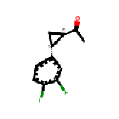 CC(=O)[C@@H]1C[C@H]1c1ccc(F)c(F)c1